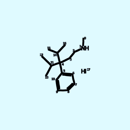 CNCCC(c1ccccc1)(C(C)C)C(C)C.I